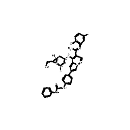 CC[C@@H]1C[C@@H](Nc2c(/C(N)=N/c3cc(F)ccc3Cl)cnn3cc(-c4ccc(NC(=O)Nc5ccccc5)cc4)cc23)C[C@@H]2C(CC#N)N12